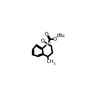 CC1CC[N+]([O-])(C(=O)OC(C)(C)C)c2ccccc21